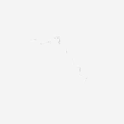 C[Si](C)(C)CCOCOCc1csc(C=NO)n1